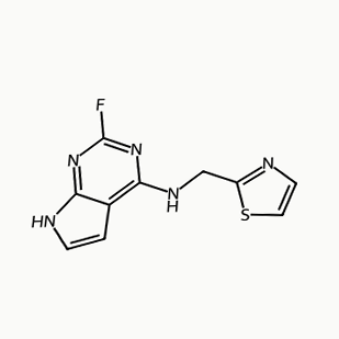 Fc1nc(NCc2nccs2)c2cc[nH]c2n1